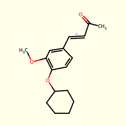 COc1cc(/C=C/C(C)=O)ccc1OC1CCCCC1